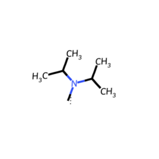 [C]N(C(C)C)C(C)C